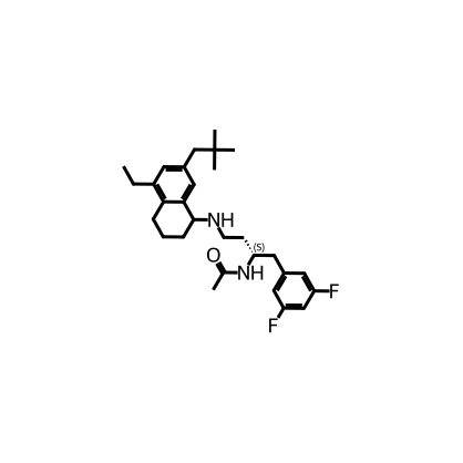 CCc1cc(CC(C)(C)C)cc2c1CCCC2NCC[C@H](Cc1cc(F)cc(F)c1)NC(C)=O